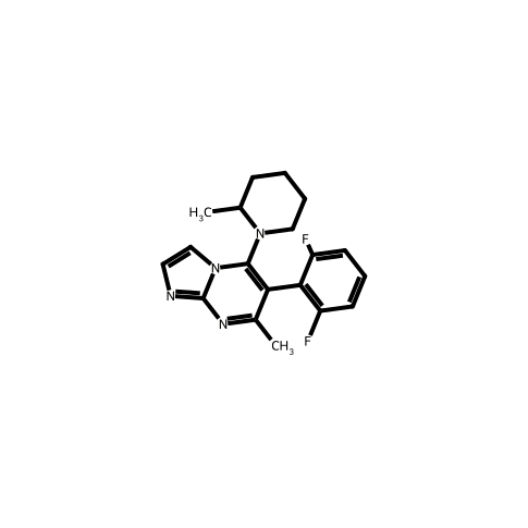 Cc1nc2nccn2c(N2CCCCC2C)c1-c1c(F)cccc1F